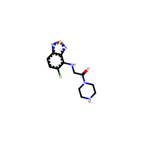 O=C(CNc1c(Cl)ccc2nsnc12)N1CCNCC1